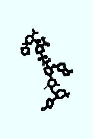 CC(C)C1CCC(C)([C@H]2COCCO2)CC1Nc1ccc(S(=O)(=O)NC(=O)c2ccc(N3C[C@@H](C)N(CC4=C(c5ccc(Cl)cc5)CC(C)(C)CC4)[C@H](C)C3)cc2Oc2cnc3[nH]ccc3c2)cc1[N+](=O)[O-]